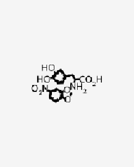 NC(Cc1ccc(O)c(O)c1)C(=O)O.O=[N+]([O-])c1ccc2c(c1)OCO2